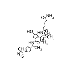 Cc1ncsc1-c1ccc([C@H](C)NC(=O)[C@@H]2C[C@@H](O)CN2C(=O)[C@@H](NC(=O)CCCCC(N)=O)C(C)(C)C)cc1